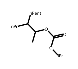 CCCCCC(CCC)C(C)OC(=O)OC(C)C